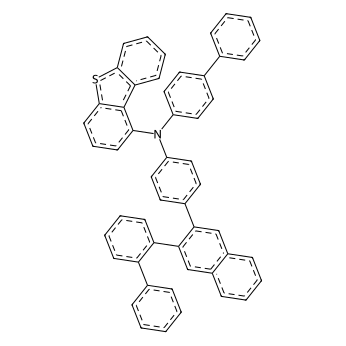 c1ccc(-c2ccc(N(c3ccc(-c4cc5ccccc5cc4-c4ccccc4-c4ccccc4)cc3)c3cccc4sc5ccccc5c34)cc2)cc1